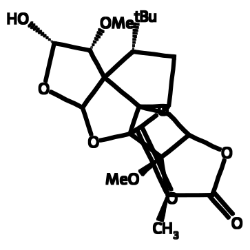 CO[C@H]1[C@@H](O)OC2OC34C(=O)OC5C[C@@H](C(C)(C)C)C21C53CC1OC(=O)[C@@H](C)[C@@]14OC